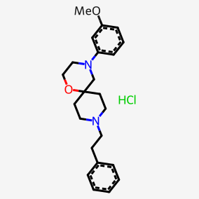 COc1cccc(N2CCOC3(CCN(CCc4ccccc4)CC3)C2)c1.Cl